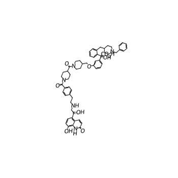 O=C(c1ccc(CCNC[C@H](O)c2ccc(O)c3[nH]c(=O)ccc23)cc1)N1CCC(C(=O)N2CCC(COc3cccc([C@@](O)(C(=O)O)c4ccccc4CC4CCN(Cc5ccccc5)CC4)c3)CC2)CC1